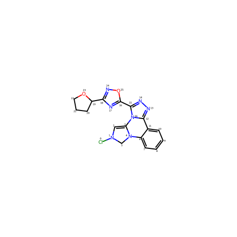 ClN1C=C2N(C1)c1ccccc1-c1nnc(-c3nc(C4CCCO4)no3)n12